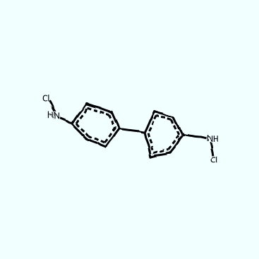 ClNc1ccc(-c2ccc(NCl)cc2)cc1